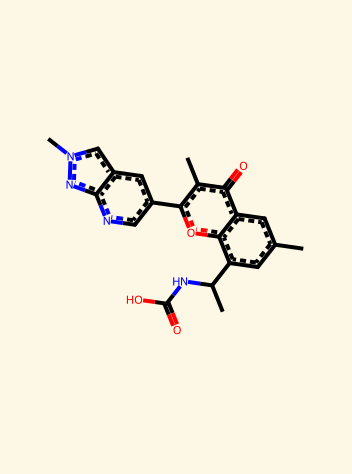 Cc1cc(C(C)NC(=O)O)c2oc(-c3cnc4nn(C)cc4c3)c(C)c(=O)c2c1